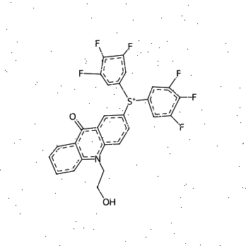 O=c1c2ccccc2n(CCO)c2ccc([S+](c3cc(F)c(F)c(F)c3)c3cc(F)c(F)c(F)c3)cc12